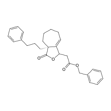 O=C(CC1OC(=O)[C@@]2(CCCc3ccccc3)CCCCC=C12)OCc1ccccc1